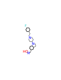 O/N=C\c1ccc2c(c1)CCN2C1CCN(CCc2ccc(F)cc2)CC1